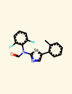 Cc1ccccc1-c1cnc(N(C=O)c2c(F)cccc2F)[se]1